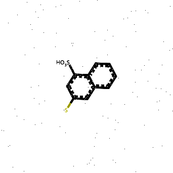 O=S(=O)(O)c1cc([S])cc2ccccc12